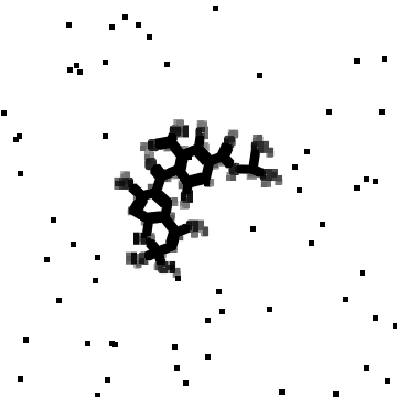 CC1=CC(C)(C)Nc2cc(O)c(C(=O)c3c(Cl)cc(C(=O)OC(C)C)c(Cl)c3C(=O)O)cc21